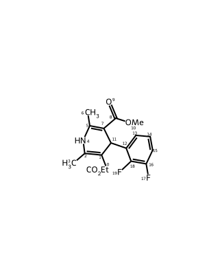 CCOC(=O)C1=C(C)NC(C)=C(C(=O)OC)C1c1cccc(F)c1F